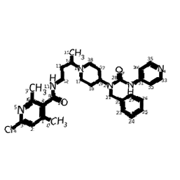 Cc1cc(Cl)nc(C)c1C(=O)NCCC(C)N1CCC(N(Cc2ccccc2)C(=O)Nc2ccncc2)CC1